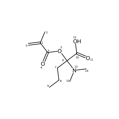 C=C(C)C(=O)OC(CCC)(C(=O)O)N(C)C